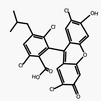 CC(C)Cc1cc(Cl)c(C(=O)O)c(-c2c3cc(Cl)c(=O)cc-3oc3cc(O)c(Cl)cc23)c1Cl